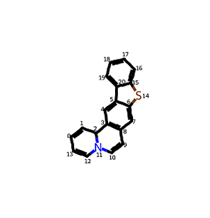 C1=CC2c3cc4c(cc3C=CN2C=C1)sc1ccccc14